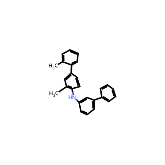 Cc1cc(-c2ccccc2C)ccc1Nc1cccc(-c2ccccc2)c1